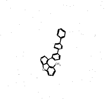 Cc1cccc2oc3cccc(-c4cccc(-c5ccc(-c6ccccc6)cc5)c4)c3c12